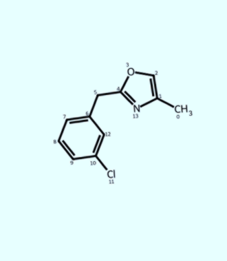 Cc1coc(Cc2cccc(Cl)c2)n1